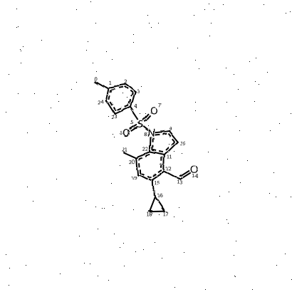 Cc1ccc(S(=O)(=O)n2ccc3c(C=O)c(C4CC4)cc(C)c32)cc1